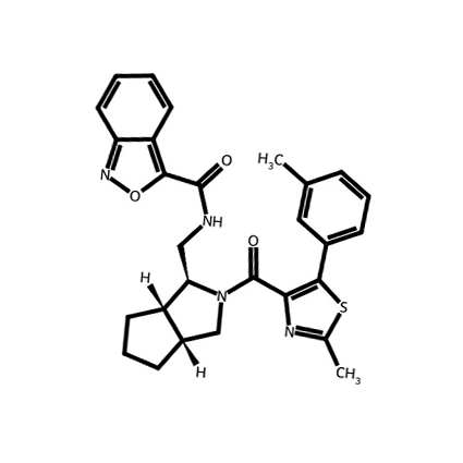 Cc1cccc(-c2sc(C)nc2C(=O)N2C[C@@H]3CCC[C@@H]3[C@H]2CNC(=O)c2onc3ccccc23)c1